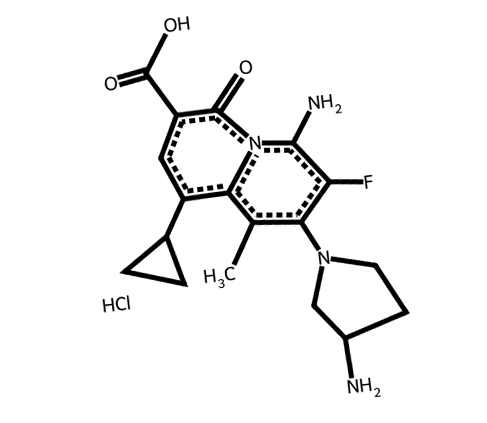 Cc1c(N2CCC(N)C2)c(F)c(N)n2c(=O)c(C(=O)O)cc(C3CC3)c12.Cl